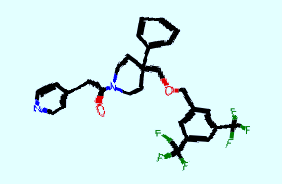 O=C(Cc1ccncc1)N1CCC(COCc2cc(C(F)(F)F)cc(C(F)(F)F)c2)(c2ccccc2)CC1